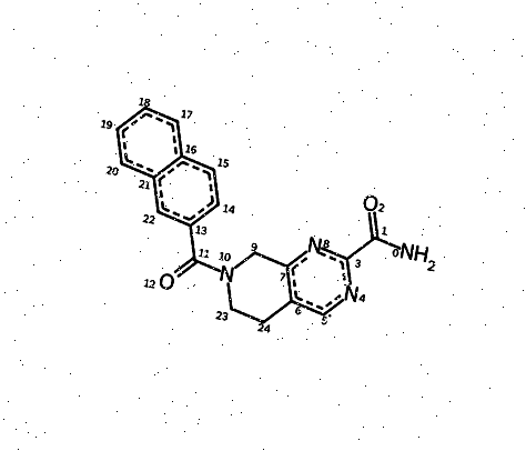 NC(=O)c1n[c]c2c(n1)CN(C(=O)c1ccc3ccccc3c1)CC2